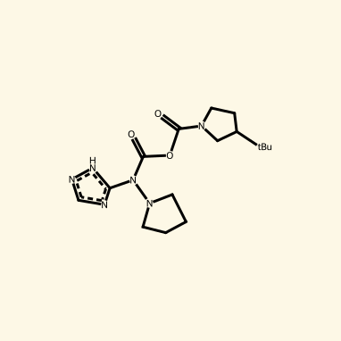 CC(C)(C)C1CCN(C(=O)OC(=O)N(c2ncn[nH]2)N2CCCC2)C1